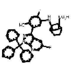 N#Cc1cc(F)c(NC2C3CCC(CC3)C2C(=O)O)cc1-c1nn(C(c2ccccc2)(c2ccccc2)c2ccccc2)c2ncc(F)cc12